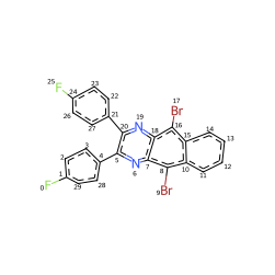 Fc1ccc(-c2nc3c(Br)c4ccccc4c(Br)c3nc2-c2ccc(F)cc2)cc1